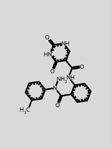 Cc1cccc(N(N)C(=O)c2ccccc2NC(=O)c2c[nH]c(=O)[nH]c2=O)c1